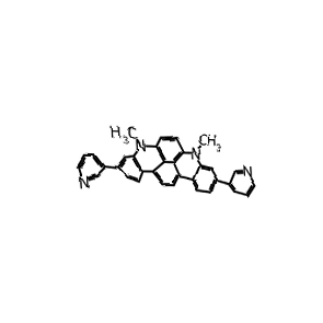 CN1c2cc(-c3cccnc3)ccc2-c2ccc3c4c(ccc1c24)N(C)c1cc(-c2cccnc2)ccc1-3